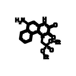 CCOP(=O)(Cn1c(=O)c(=O)[nH]c2cc(N)c3ccccc3c21)OCC